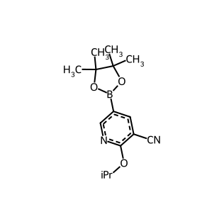 CC(C)Oc1ncc(B2OC(C)(C)C(C)(C)O2)cc1C#N